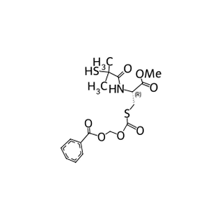 COC(=O)[C@H](CSC(=O)OCOC(=O)c1ccccc1)NC(=O)C(C)(C)S